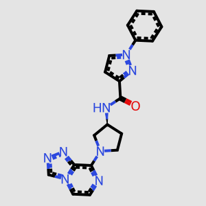 O=C(N[C@H]1CCN(c2nccn3cnnc23)C1)c1ccn(-c2ccccc2)n1